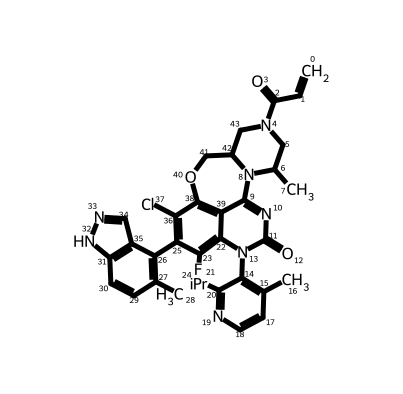 C=CC(=O)N1CC(C)N2c3nc(=O)n(-c4c(C)ccnc4C(C)C)c4c(F)c(-c5c(C)ccc6[nH]ncc56)c(Cl)c(c34)OCC2C1